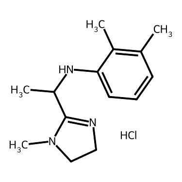 Cc1cccc(NC(C)C2=NCCN2C)c1C.Cl